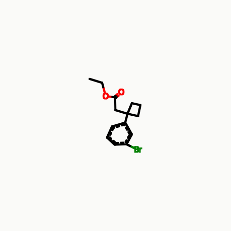 CCOC(=O)CC1(c2cccc(Br)c2)CCC1